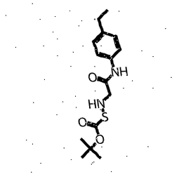 C[CH]c1ccc(NC(=O)CNSC(=O)OC(C)(C)C)cc1